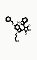 NCCCn1cc(C2=C(c3c[nH]c4ccccc34)C(=O)NC2=O)c2ccc(OCc3ccccc3)cc21